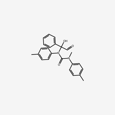 Cc1ccc(N(C)C(=O)N(c2ccc(C)cc2)C(O)(C=O)c2ccccc2)cc1